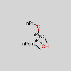 CC#N.CC(C)O.CCCCCC.CCCOCCC